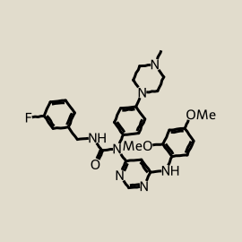 COc1ccc(Nc2cc(N(C(=O)NCc3cccc(F)c3)c3ccc(N4CCN(C)CC4)cc3)ncn2)c(OC)c1